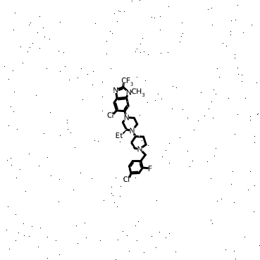 CC[C@H]1CN(c2cc3c(cc2Cl)nc(C(F)(F)F)n3C)CCN1C1CCN(Cc2ccc(Cl)cc2F)CC1